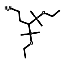 CCO[Si](C)(C)C(CCN)[Si](C)(C)OCC